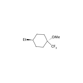 CC[C@H]1CC[C@@](OC)(C(F)(F)F)CC1